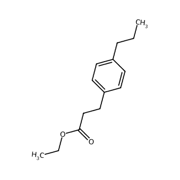 CCCc1ccc(CCC(=O)OCC)cc1